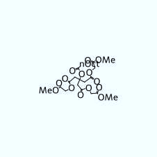 CCCCCCCCC(=O)OC(CC(=O)OCC(=O)OC)(CC(=O)OCC(=O)OC)CC(=O)OCC(=O)OC